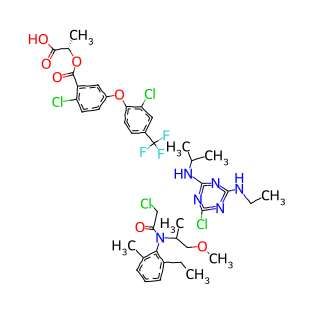 CCNc1nc(Cl)nc(NC(C)C)n1.CCc1cccc(C)c1N(C(=O)CCl)C(C)COC.C[C@H](OC(=O)c1cc(Oc2ccc(C(F)(F)F)cc2Cl)ccc1Cl)C(=O)O